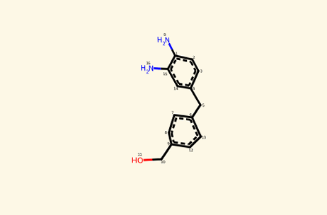 Nc1ccc(Cc2ccc(CO)cc2)cc1N